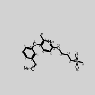 COCc1cccc(Oc2ccc(OCCCS(C)(=O)=O)nc2C)c1